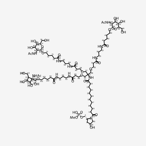 COP(=O)(O)OC[C@H]1C[C@H](O)CN1C(=O)CCCCCCCCCCC(=O)NC(COCCC(=O)NCCCNC(=O)CCCCO[C@@H]1OC(CO)[C@H](O)C(O)[C@@H]1NC(C)=O)(COCCC(=O)NCCCNC(=O)CCCCO[C@@H]1OC(CO)[C@H](O)C(O)[C@@H]1NC(C)=O)COCCC(=O)NCCCNC(=O)CCCCO[C@H](O)[C@@]1(NC(C)=O)C(O)[C@@H](O)C1CO